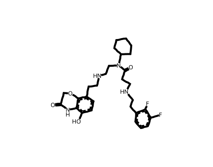 O=C1COc2c(CCNCCN(C(=O)CCNCCc3cccc(F)c3F)C3CCCCC3)ccc(O)c2N1